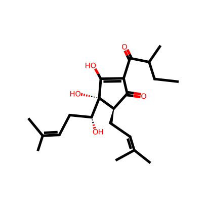 CCC(C)C(=O)C1=C(O)[C@](O)([C@H](O)CC=C(C)C)[C@H](CC=C(C)C)C1=O